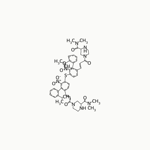 CC(C)c1ccccc1-c1c(/C=C/C(=O)N2CCNC(C(=O)N(C)C)C2)ccc(Sc2ccc(/C=C/C(=O)N3CCNC(C(=O)N(C)C)C3)c(-c3ccccc3C(C)C)c2[N+](=O)[O-])c1[N+](=O)[O-]